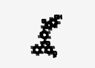 COc1cccc(OC(CCC2CCCCC2)[C@H]2CC[C@H](CN3Cc4ccc(O)cc4C3=O)CC2)c1